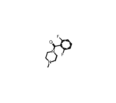 CN1CCN(C(=O)c2c(F)cccc2F)CC1